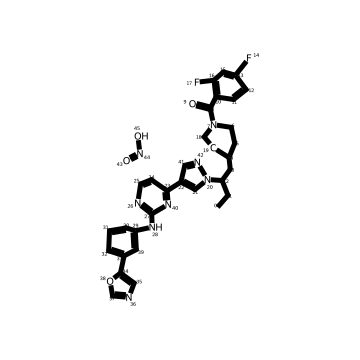 CCC(CC1CCN(C(=O)c2ccc(F)cc2F)CC1)n1cc(-c2ccnc(Nc3cccc(-c4cnco4)c3)n2)cn1.O=NO